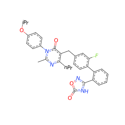 CCCc1nc(C)n(-c2ccc(OC(C)C)cc2)c(=O)c1Cc1ccc(-c2ccccc2-c2noc(=O)[nH]2)c(F)c1